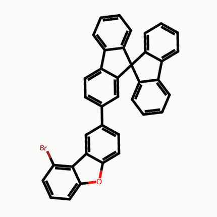 Brc1cccc2oc3ccc(-c4ccc5c(c4)C4(c6ccccc6-c6ccccc64)c4ccccc4-5)cc3c12